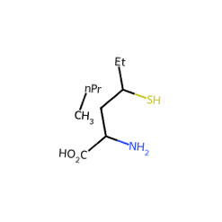 CCC(S)CC(N)C(=O)O.CCCC